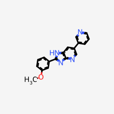 COc1cccc(-c2nc3ncc(-c4cccnc4)cc3[nH]2)c1